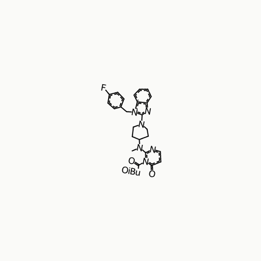 CC(C)COC(=O)n1c(N(C)C2CCN(c3nc4ccccc4n3Cc3ccc(F)cc3)CC2)nccc1=O